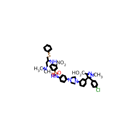 CN(C)CCC(CSc1ccccc1)Nc1ccc(S(=O)(=O)Nc2ccc(N3CCN(c4cccc(-c5c(C(=O)O)nn(C)c5-c5ccc(Cl)cc5)c4)CC3)cc2)cc1[N+](=O)[O-]